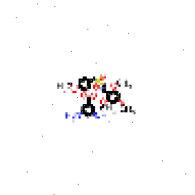 COc1cc(OC)c(/C=C/S(=O)(=O)Cc2ccc(OC)c(OC(=O)c3cc(N)cc(N)c3)c2)c(OC)c1